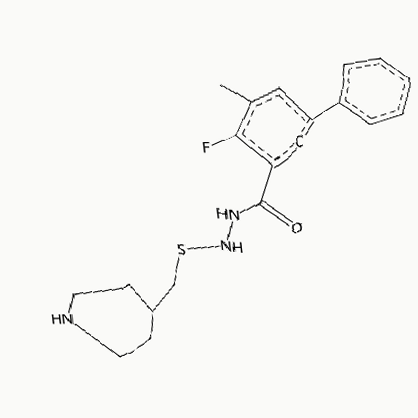 Cc1cc(-c2ccccc2)cc(C(=O)NNSCC2CCNCC2)c1F